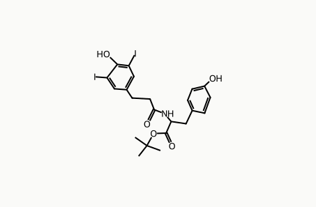 CC(C)(C)OC(=O)C(Cc1ccc(O)cc1)NC(=O)CCc1cc(I)c(O)c(I)c1